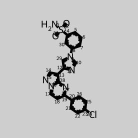 NS(=O)(=O)c1cccc(-n2cnc(-c3cnn4ccc(-c5ccc(Cl)cc5)nc34)c2)c1